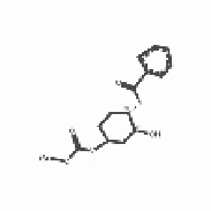 CC(C)(C)OC(=O)NC1CC[C@H](SC(=O)c2ccccc2)[C@@H](O)C1